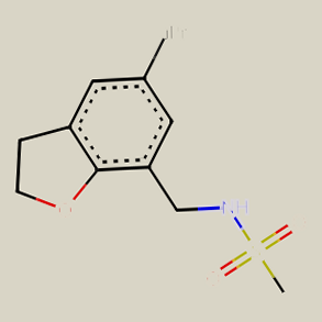 CC(C)c1cc2c(c(CNS(C)(=O)=O)c1)OCC2